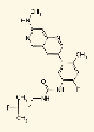 CNc1cc2ncc(-c3cc(NC(=O)NCCC(C)(C)F)c(F)cc3C)cc2cn1